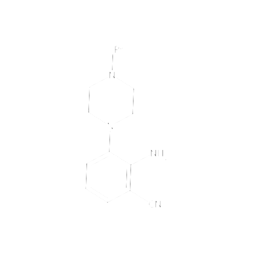 CC(C)N1CCN(c2cccc(C#N)c2N)CC1